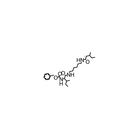 CCC(C)[CH]C(=O)NCCCCCCNC(=O)C(NC(=O)OCc1ccccc1)C(C)CC